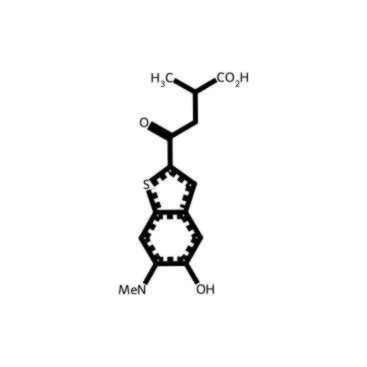 CNc1cc2sc(C(=O)CC(C)C(=O)O)cc2cc1O